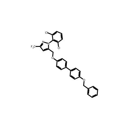 FC(F)(F)c1cc(COc2ccc(-c3ccc(OCc4ccccc4)cc3)cc2)n(-c2c(Cl)cccc2Cl)n1